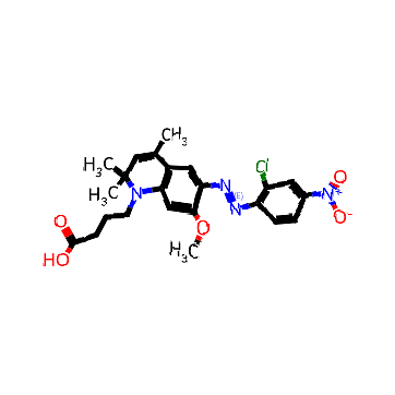 COc1cc2c(cc1/N=N/c1ccc([N+](=O)[O-])cc1Cl)C(C)=CC(C)(C)N2CCCC(=O)O